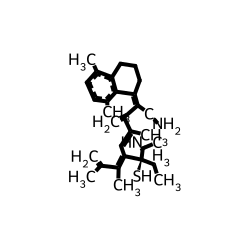 C=C(C)/C(C)=C(\C=C(/C)C(=C)/C(CN)=C1/CCCc2c(C)ccc(C)c21)[C@@](S)(CC)C(C)=N